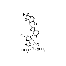 Cc1cc(Cl)cc(-c2ncnn3cc(Cn4c(=O)ccn(C)c4=O)cc23)c1CC1CN(C(=O)O)C[C@H](C)O1